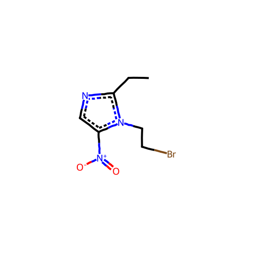 CCc1ncc([N+](=O)[O-])n1CCBr